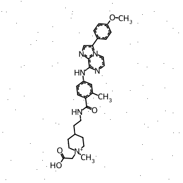 COc1ccc(-c2cnc3c(Nc4ccc(C(=O)NCCC5CC[N+](C)(CC(=O)O)CC5)c(C)c4)nccn23)cc1